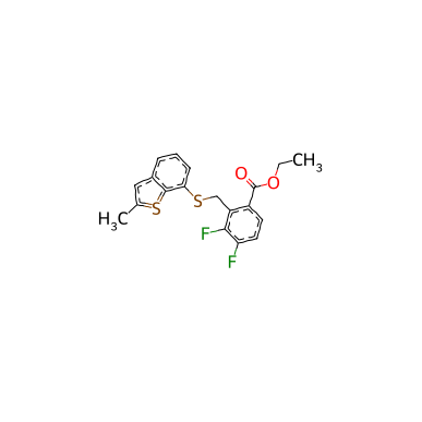 CCOC(=O)c1ccc(F)c(F)c1CSc1cccc2cc(C)sc12